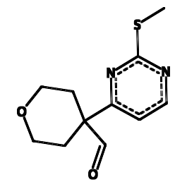 CSc1nccc(C2(C=O)CCOCC2)n1